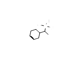 CC(C1CC=CCC1)[Si](Cl)(Cl)Cl